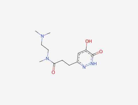 CN(C)CCN(C)C(=O)CCc1cc(O)c(=O)[nH]n1